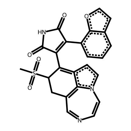 CS(=O)(=O)C1CC2=c3c(ccn3C=CN=C2)=C1C1=C(c2cccc3ccoc23)C(=O)NC1=O